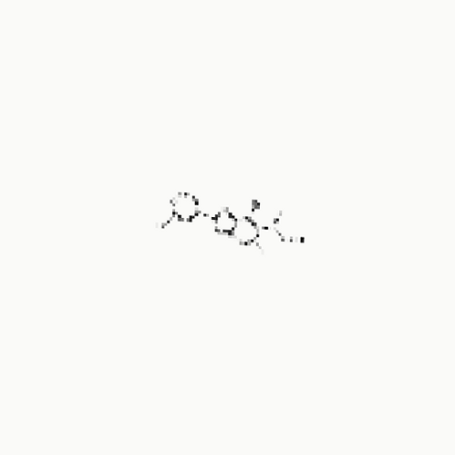 CCOC(=O)C(=O)c1c(C)cn2cc(-c3cccc(Br)c3)nc2c1Br